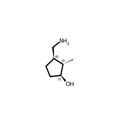 C[C@H]1[C@H](CN)CC[C@@H]1O